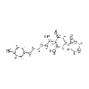 CCC(=NOCCOc1ccc(Cl)cc1)C1=C(O)CC(C23CCOCC2O3)CC1=O